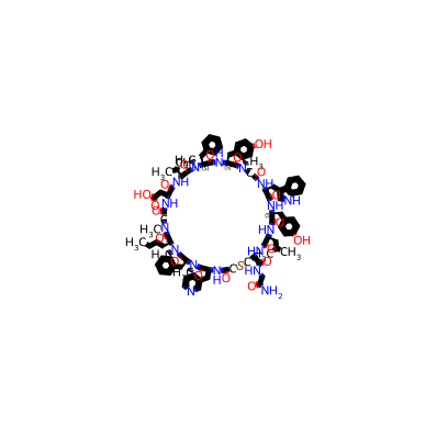 CCCC[C@H]1C(=O)N(C)CC(=O)NC(CC(=O)O)C(=O)N[C@@H](C(C)C)C(=O)N(C)[C@@H](Cc2ccccc2)C(=O)N[C@@H](Cc2ccc(O)cc2)C(=O)N(C)CC(=O)N[C@@H](Cc2c[nH]c3ccccc23)C(=O)N[C@@H](Cc2ccc(O)cc2)C(=O)N[C@@H](CC(C)C)C(=O)NC(C(=O)NCC(N)=O)CSCC(=O)NC(Cc2cccnc2)C(=O)N(C)[C@@H](Cc2ccccc2)C(=O)N1C